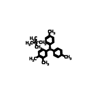 C[N+](C)(C)C.Cc1ccc(B(c2ccc(C)cc2)c2ccc(C)c(C)c2)cc1